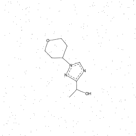 CC(O)c1ncn(C2CCOCC2)n1